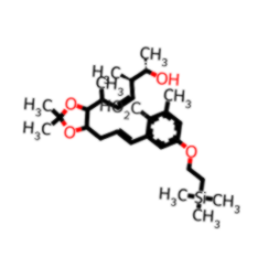 Cc1cc(OCC[Si](C)(C)C)cc(/C=C/CC2OC(C)(C)OC2C(C)/C=C\[C@@H](C)[C@H](C)O)c1C(=O)O